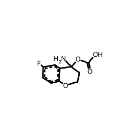 NC1(OC(=O)O)CCOc2ccc(F)cc21